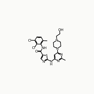 Cc1nc(Nc2ncc(C(=O)Nc3c(C)ccc(Cl)c3Cl)s2)cc(N2CCN(CCO)CC2)n1